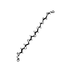 O=C=NCCOCCOCCOCCOCCOCCN=C=O